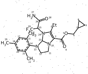 CCC1=C(C(=O)OCC2CC2)N2CCN(c3c(C)cc(C)cc3C)C2N1C(C(N)=O)C(F)(F)F